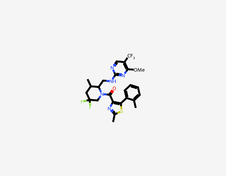 COc1nc(NCC2C(C)CC(F)(F)CN2C(=O)c2nc(C)sc2-c2ccccc2C)ncc1C(F)(F)F